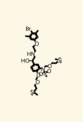 Cc1cc(OCCNC[C@H](O)c2ccc(OCOCC[Si](C)(C)C)c(N(COCC[Si](C)(C)C)S(C)(=O)=O)c2)cc(C)c1Br